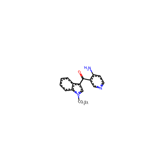 CCOC(=O)n1cc(C(=O)c2cnccc2N)c2ccccc21